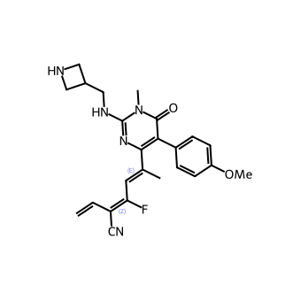 C=C/C(C#N)=C(F)\C=C(/C)c1nc(NCC2CNC2)n(C)c(=O)c1-c1ccc(OC)cc1